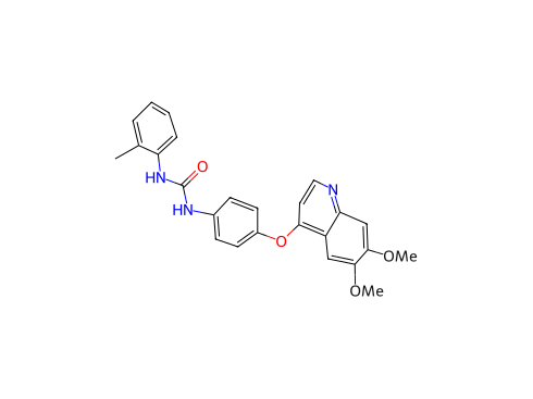 COc1cc2nccc(Oc3ccc(NC(=O)Nc4ccccc4C)cc3)c2cc1OC